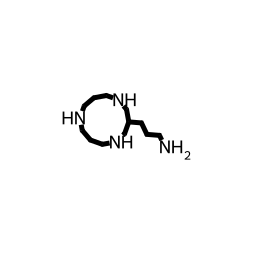 NCCCC1CNCCCNCCCNC1